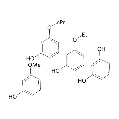 CCCOc1cccc(O)c1.CCOc1cccc(O)c1.COc1cccc(O)c1.Oc1cccc(O)c1